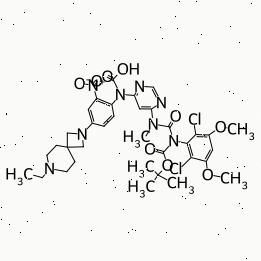 CCN1CCC2(CC1)CN(c1ccc(N(C(=O)O)c3cc(N(C)C(=O)N(C(=O)OC(C)(C)C)c4c(Cl)c(OC)cc(OC)c4Cl)ncn3)c([N+](=O)[O-])c1)C2